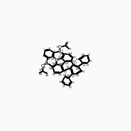 CC(C)OB1c2cccc3c2-n2c4c1ccc1c5c(-c6ccccc6)ccc(-c6ccccc6)c5c5ccc(c2c5c14)B3OC(C)C